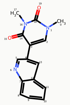 Cn1cc(-c2cnc3ccccc3c2)c(=O)n(C)c1=O